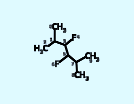 CC(C)C(F)C(F)C(C)C